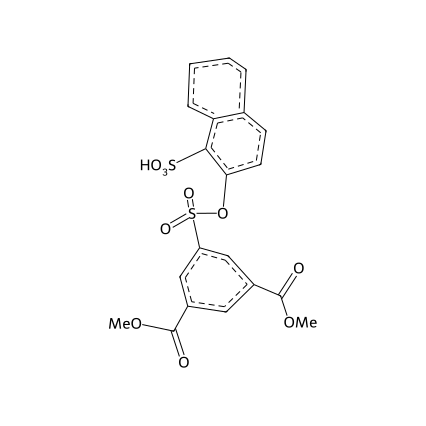 COC(=O)c1cc(C(=O)OC)cc(S(=O)(=O)Oc2ccc3ccccc3c2S(=O)(=O)O)c1